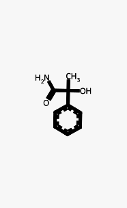 CC(O)(C(N)=O)c1ccccc1